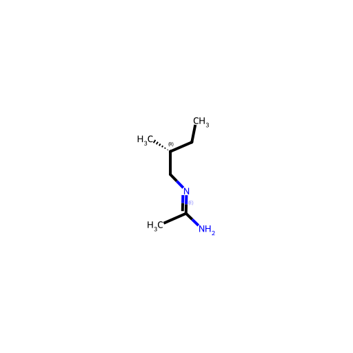 CC[C@@H](C)C/N=C(\C)N